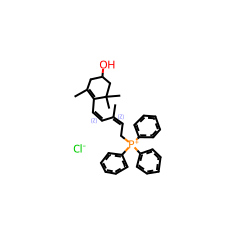 CC1=C(/C=C\C(C)=C/C[P+](c2ccccc2)(c2ccccc2)c2ccccc2)C(C)(C)CC(O)C1.[Cl-]